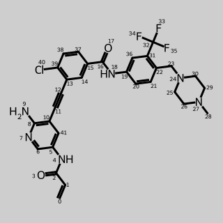 C=CC(=O)Nc1cnc(N)c(C#Cc2cc(C(=O)Nc3ccc(CN4CCN(C)CC4)c(C(F)(F)F)c3)ccc2Cl)c1